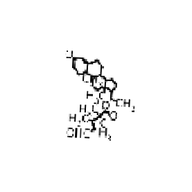 CC(OC(=O)C(C)(C)C(C)CC=O)C1CCC2C3CCC4=CC(=O)CCC4(C)C3CCC12C